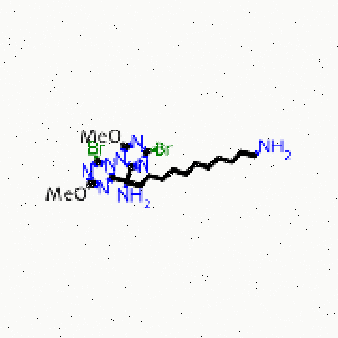 COc1nc(Br)nc(C(N)(CCCCCCCCCCCN)c2nc(Br)nc(OC)n2)n1